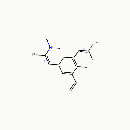 C=CC1=CC(/C=C(/C(C)C)N(C)C)CC(/C=C(\C)C(C)C)=C1C